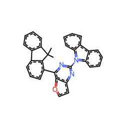 CC1(C)c2ccccc2-c2cccc(-c3nc(-n4c5ccccc5c5ccccc54)nc4ccoc34)c21